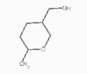 CC1CCC(CO)CO1